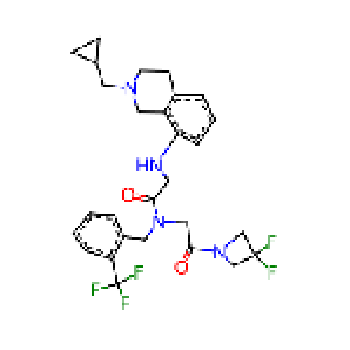 O=C(CNc1cccc2c1CN(CC1CC1)CC2)N(CC(=O)N1CC(F)(F)C1)Cc1ccccc1C(F)(F)F